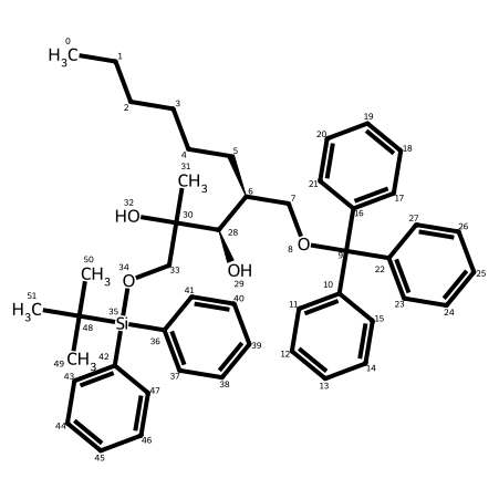 CCCCCC[C@@H](COC(c1ccccc1)(c1ccccc1)c1ccccc1)[C@@H](O)C(C)(O)CO[Si](c1ccccc1)(c1ccccc1)C(C)(C)C